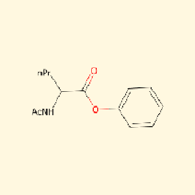 CCCC(NC(C)=O)C(=O)Oc1ccccc1